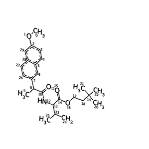 COc1ccc2cc(C(C)C(=O)NC(C(=O)OCCC(C)(C)C)C(C)C)ccc2c1